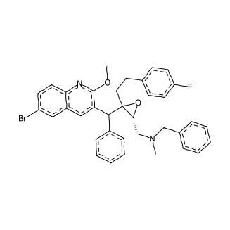 COc1nc2ccc(Br)cc2cc1C(c1ccccc1)C1(CCc2ccc(F)cc2)O[C@@H]1CN(C)Cc1ccccc1